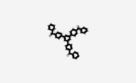 O=C(c1ccccc1)c1ccc(-c2cc(-c3ccc(C(=O)c4ccccc4)cc3)cc(-c3ccc(C(=O)c4ccccc4)cc3)c2)cc1